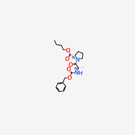 CCCCOC(=O)[C@@H]1CCCN1C(=O)[C@H](C)NC(=O)OCc1ccccc1